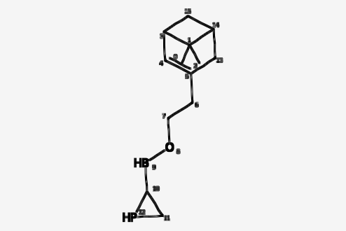 CC1(C)C2C=C(CCOBC3CP3)CC1C2